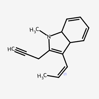 C#CCC1=C(/C=C\C)C2C=CC=CC2N1C